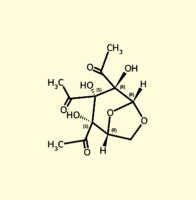 CC(=O)[C@@]1(O)[C@](O)(C(C)=O)[C@@H]2OC[C@@H](O2)[C@@]1(O)C(C)=O